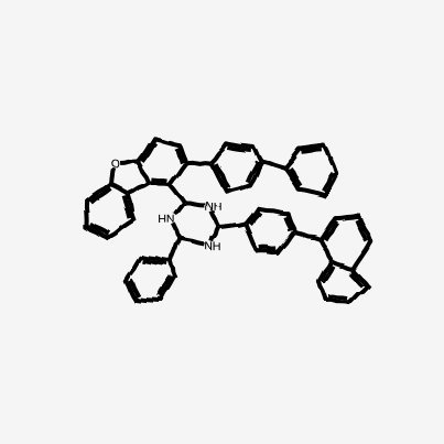 c1ccc(-c2ccc(-c3ccc4oc5ccccc5c4c3C3NC(c4ccccc4)NC(c4ccc(-c5cccc6ccccc56)cc4)N3)cc2)cc1